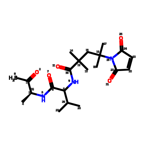 BC(=O)[C@H](C)NC(=O)C(NC(=O)C(C)(C)CC(C)(C)N1C(=O)C=CC1=O)C(C)C